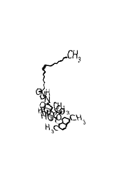 CCCCCCCC/C=C\CCCCCCCC(=O)N1CC[C@@H](NC(=O)C[C@H](O)C[C@@H](O)CC[C@@H]2C3C(=C[C@H](C)CC3OC(=O)C(C)(C)CC)C=C[C@@H]2C)C1